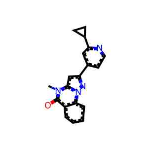 Cn1c(=O)c2ccccc2n2nc(-c3ccnc(C4CC4)c3)cc12